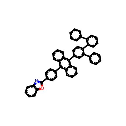 c1ccc(-c2ccccc2-c2ccc(-c3c4ccccc4c(-c4ccc(-c5nc6ccccc6o5)cc4)c4ccccc34)cc2-c2ccccc2)cc1